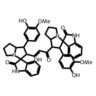 COc1ccc(C2C3CCCN3C3(C(=O)Nc4ccccc43)C2/C(O)=C/C(=O)C2C3CCCN3C3(C(=O)Nc4ccccc43)C2c2ccc(O)c(OC)c2)cc1O